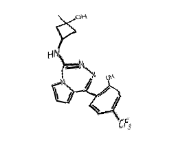 CC1(O)CC(Nc2nnc(-c3ccc(C(F)(F)F)cc3O)c3cccn23)C1